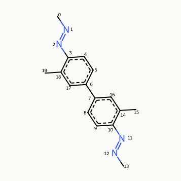 CN=Nc1ccc(-c2ccc(N=NC)c(C)c2)cc1C